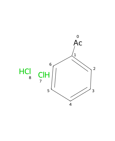 CC(=O)c1ccccc1.Cl.Cl